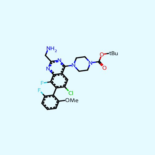 COc1cccc(F)c1-c1c(Cl)cc2c(N3CCN(C(=O)OC(C)(C)C)CC3)nc(CN)nc2c1F